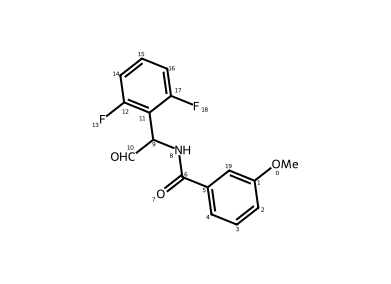 COc1cccc(C(=O)NC(C=O)c2c(F)cccc2F)c1